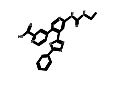 CCNC(=O)Nc1cc(-c2nnc(-c3ccccc3)o2)c(-c2ccnc(C(=O)O)c2)cn1